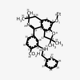 CCOc1cc2c(c3c1OC(C)(C)C3)C(c1ccc(C(=O)O)c(NCc3ccccn3)c1)=NC(C)(C)C2